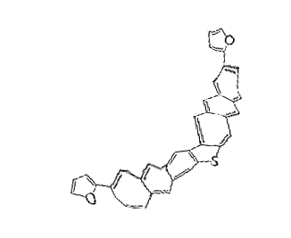 c1coc(-c2ccc3cc4cc5sc6cc7cc8ccc(-c9ccco9)cc8cc7cc6c5cc4cc3c2)c1